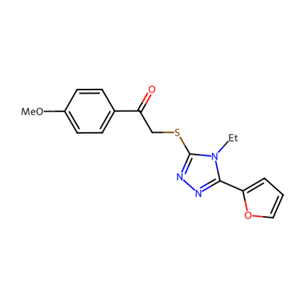 CCn1c(SCC(=O)c2ccc(OC)cc2)nnc1-c1ccco1